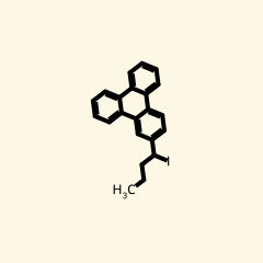 CCCC(I)c1ccc2c3ccccc3c3ccccc3c2c1